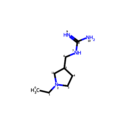 CCN1CCC(CNC(=N)N)C1